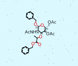 CC(=O)N[C@H]1[C@@H](OCc2ccccc2)O[C@H](COC(C)=O)[C@@H](OC(C)=O)[C@@H]1OC(C)C(=O)OCc1ccccc1